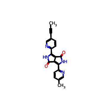 CC#Cc1ccc(C2=C3C(=O)NC(c4ccc(C)cn4)=C3C(=O)N2)nc1